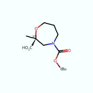 CC(C)(C)OC(=O)N1CCCO[C@](C)(C(=O)O)C1